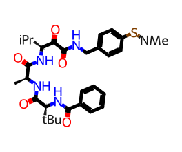 CNSc1ccc(CNC(=O)C(=O)[C@@H](NC(=O)[C@H](C)NC(=O)[C@@H](NC(=O)c2ccccc2)C(C)(C)C)C(C)C)cc1